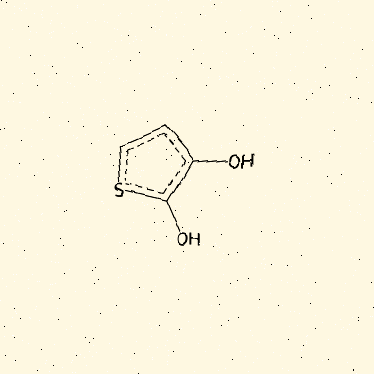 Oc1ccsc1O